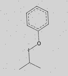 CC(C)[I]Oc1ccccc1